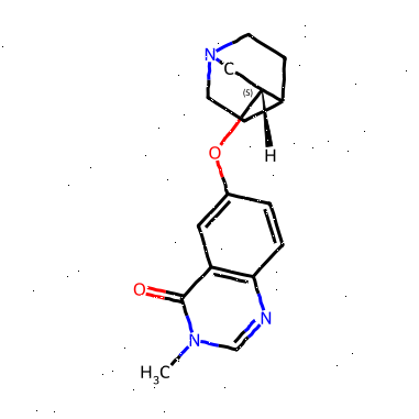 Cn1cnc2ccc(O[C@@H]3CN4CCC3CC4)cc2c1=O